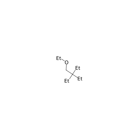 CCOCC(CC)(CC)CC